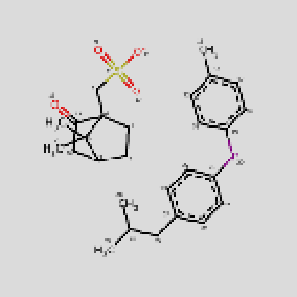 CC1(C)C2CCC1(CS(=O)(=O)[O-])C(=O)C2.Cc1ccc([I+]c2ccc(CC(C)C)cc2)cc1